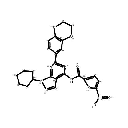 O=C(Nc1nc(-c2ccc3c(c2)OCCO3)nc2c1cnn2C1CCCCC1)c1ccc([N+](=O)[O-])s1